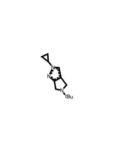 CC(C)(C)N1Cc2cn(C3CC3)nc2C1